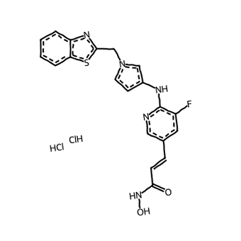 Cl.Cl.O=C(C=Cc1cnc(Nc2ccn(Cc3nc4ccccc4s3)c2)c(F)c1)NO